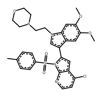 COc1cc2c(-c3cc4c(Cl)ccnc4n3S(=O)(=O)c3ccc(C)cc3)cn(CCN3CCOCC3)c2cc1OC